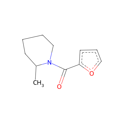 CC1CCCCN1C(=O)c1ccco1